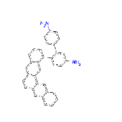 Nc1ccc(-c2cc(N)ccc2-c2cccc3cc4ccc5cc6ccccc6cc5c4cc23)cc1